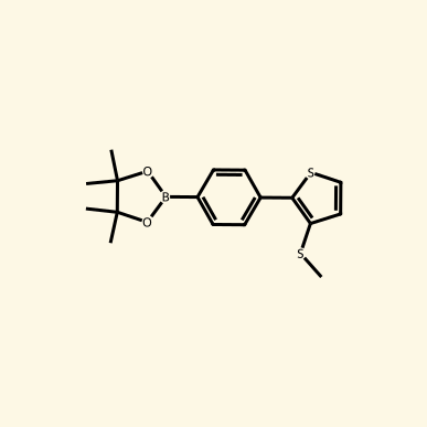 CSc1ccsc1-c1ccc(B2OC(C)(C)C(C)(C)O2)cc1